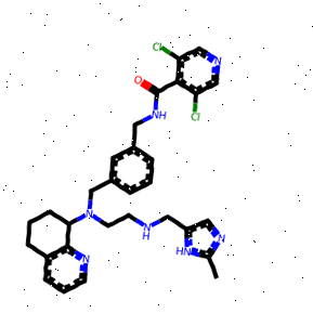 Cc1ncc(CNCCN(Cc2cccc(CNC(=O)c3c(Cl)cncc3Cl)c2)C2CCCc3cccnc32)[nH]1